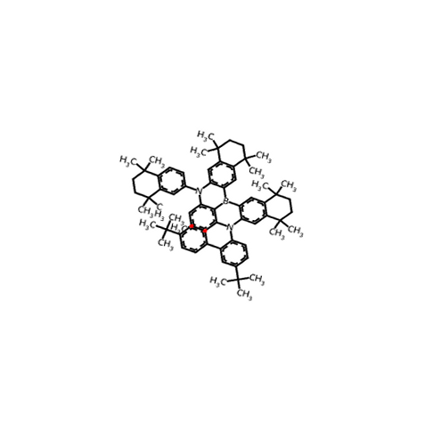 Cc1cc2c3c(c1)N(c1ccc(C(C)(C)C)cc1-c1ccc(C(C)(C)C)cc1)c1cc4c(cc1B3c1cc3c(cc1N2c1ccc2c(c1)C(C)(C)CCC2(C)C)C(C)(C)CCC3(C)C)C(C)(C)CCC4(C)C